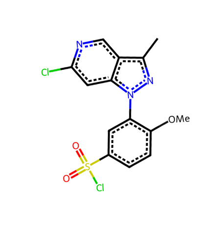 COc1ccc(S(=O)(=O)Cl)cc1-n1nc(C)c2cnc(Cl)cc21